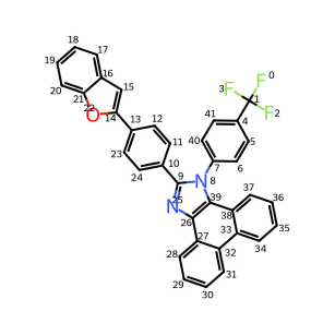 FC(F)(F)c1ccc(-n2c(-c3ccc(-c4cc5ccccc5o4)cc3)nc3c4ccccc4c4ccccc4c32)cc1